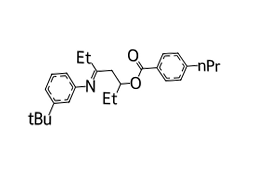 CCCc1ccc(C(=O)OC(CC)CC(CC)=Nc2cccc(C(C)(C)C)c2)cc1